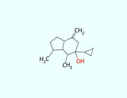 C=C1CC(O)(C2CC2)C(C)C2C(C)CCC12